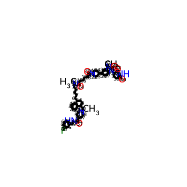 CC(c1ccc(CCCCCN(C)C(=O)CCCCC(=O)N2CCC(c3ccc4c(c3)n(C)c(=O)n4C3CCC(=O)NC3=O)CC2)c2ccccc12)N1CCC(C(=O)NCc2cccc(F)c2)CC1